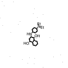 CCN(CC)c1ccc(Nc2cc(O)c3ccccc3c2O)cc1